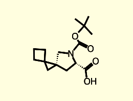 CC(C)(C)OC(=O)N1C[C@]2(C[C@H]1C(=O)O)CC21CCC1